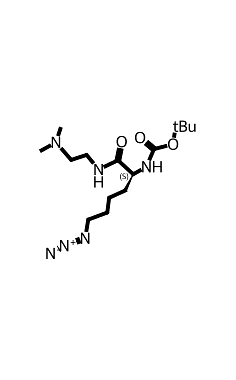 CN(C)CCNC(=O)[C@H](CCCCN=[N+]=[N-])NC(=O)OC(C)(C)C